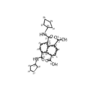 O=C(O)c1ccc(C(=O)O)c2c(C(=O)NC3CCCC3)ccc(C(=O)NC3CCCC3)c12